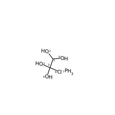 OC(O)C(O)(O)Cl.P